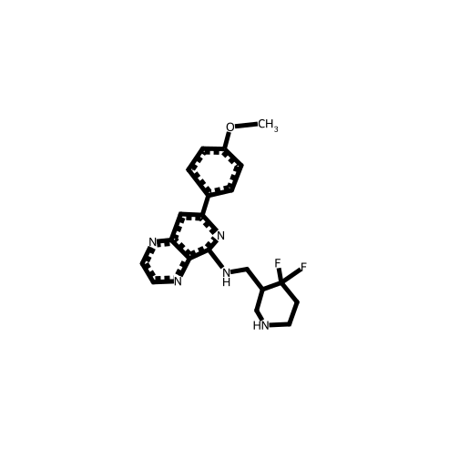 COc1ccc(-c2cc3nccnc3c(NCC3CNCCC3(F)F)n2)cc1